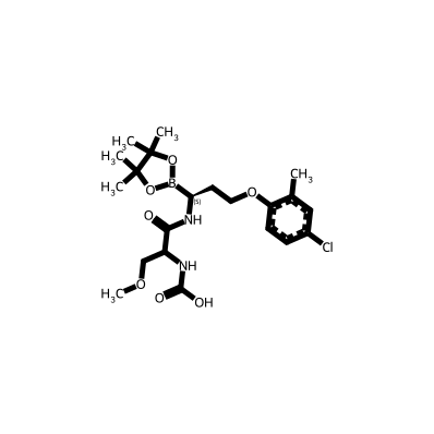 COCC(NC(=O)O)C(=O)N[C@H](CCOc1ccc(Cl)cc1C)B1OC(C)(C)C(C)(C)O1